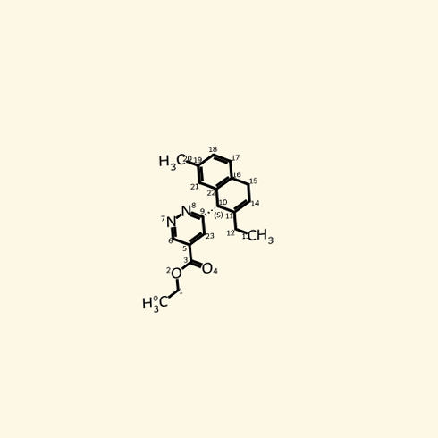 CCOC(=O)c1cnnc([C@H]2C(CC)=CCc3ccc(C)cc32)c1